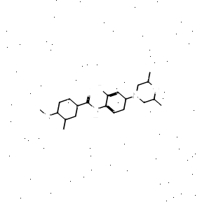 CNC1CCC(C(=O)NC2=CCC(N3CC(C)OC(C)C3)C=C2F)CC1C